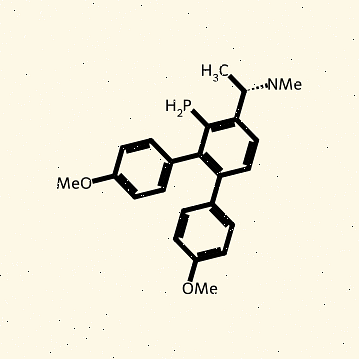 CN[C@@H](C)c1ccc(-c2ccc(OC)cc2)c(-c2ccc(OC)cc2)c1P